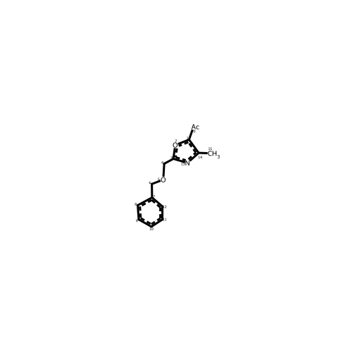 CC(=O)c1oc(COCc2ccccc2)nc1C